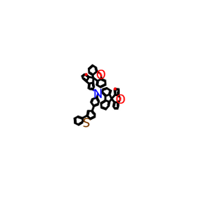 c1ccc2c(c1)Oc1ccccc1C21c2ccccc2-c2ccc(N(c3ccc(-c4ccc5sc6ccccc6c5c4)cc3)c3cccc4c3-c3ccccc3C43c4ccccc4Oc4ccccc43)cc21